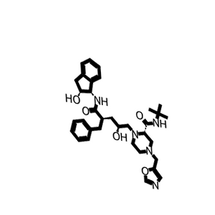 CC(C)(C)NC(=O)[C@@H]1CN(Cc2cnco2)CCN1C[C@@H](O)C[C@@H](Cc1ccccc1)C(=O)N[C@H]1c2ccccc2C[C@H]1O